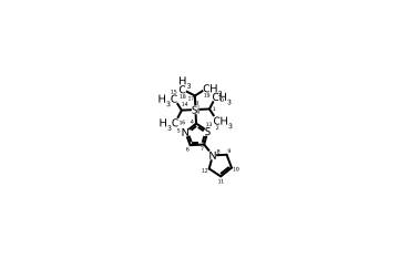 CC(C)[Si](c1ncc(N2CC=CC2)s1)(C(C)C)C(C)C